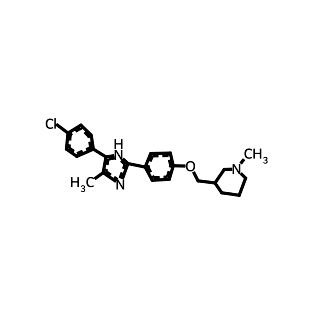 Cc1nc(-c2ccc(OCC3CCCN(C)C3)cc2)[nH]c1-c1ccc(Cl)cc1